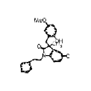 COc1ccc(O)c(CC2(C)C(=O)N(CCc3ccccc3)c3ccc(Cl)cc32)c1